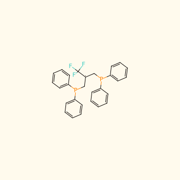 FC(F)(F)[C](CP(c1ccccc1)c1ccccc1)CP(c1ccccc1)c1ccccc1